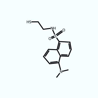 CN(C)c1cccc2c(S(=O)(=O)NCCS)cccc12